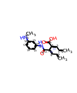 C=C/C=C(C(=O)O)\C(=C/C=C)C(=O)Nc1cccc(NC)c1